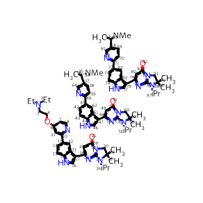 CCN(CC)CCOc1ccnc(-c2ccc3[nH]cc(-c4cc(=O)n5c(n4)N(C(C)C)C(C)(C)C5)c3c2)c1.CN[C@@H](C)c1ccc(-c2ccc3[nH]cc(-c4cc(=O)n5c(n4)N(C(C)C)C(C)(C)C5)c3c2)nc1.CN[C@H](C)c1ccc(-c2ccc3[nH]cc(-c4cc(=O)n5c(n4)N(C(C)C)C(C)(C)C5)c3c2)nc1